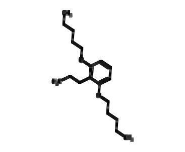 [CH2]CCc1c(OCCCCC)cccc1OCCCCC